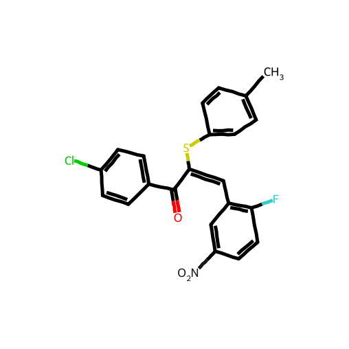 Cc1ccc(SC(=Cc2cc([N+](=O)[O-])ccc2F)C(=O)c2ccc(Cl)cc2)cc1